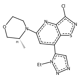 CCn1nncc1-c1cc(N2CCOC[C@H]2C)nc2c(Cl)nsc12